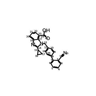 N#Cc1ccccc1-c1ccc(Cn2c(C3CC3)nc3cccc(C(=O)O)c32)cc1